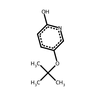 CC(C)(C)Oc1ccc(O)nc1